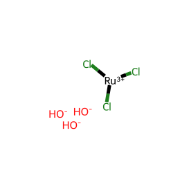 [Cl][Ru+3]([Cl])[Cl].[OH-].[OH-].[OH-]